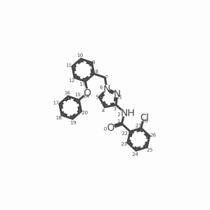 O=C(Nc1ccn(Cc2ccccc2Oc2ccccc2)n1)c1ccccc1Cl